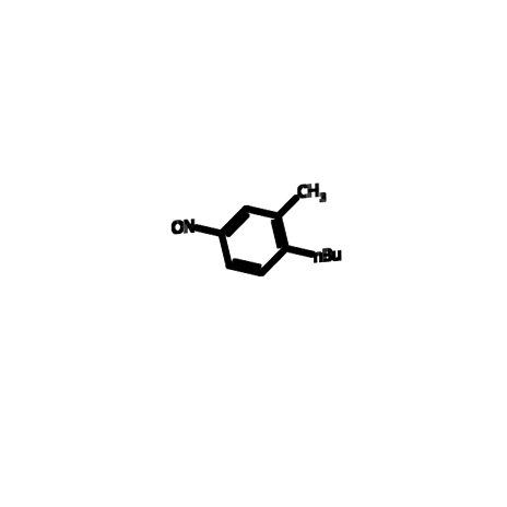 CCCCc1ccc(N=O)cc1C